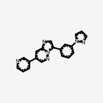 c1cncc(-c2cnn3c(-c4cccc(-n5cccn5)c4)cnc3c2)c1